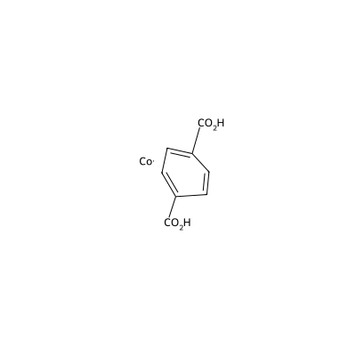 O=C(O)c1ccc(C(=O)O)cc1.[Co]